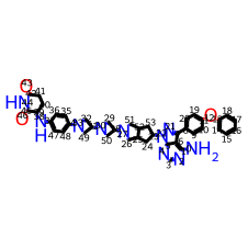 Nc1ncnc2c1c(-c1ccc(Oc3ccccc3)cc1)nn2C1CC2CN(C3CN(C4CN(c5ccc(NC6CCC(=O)NC6=O)cc5)C4)C3)CC2C1